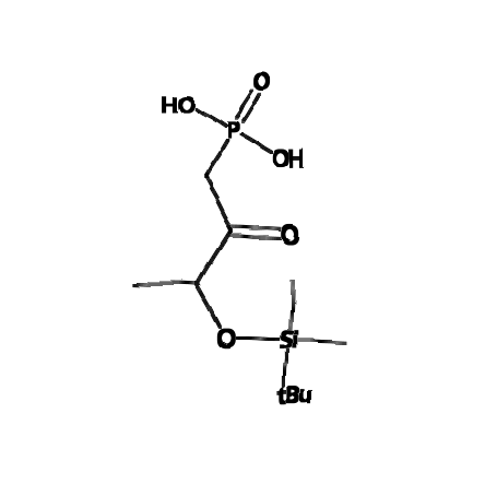 CC(O[Si](C)(C)C(C)(C)C)C(=O)CP(=O)(O)O